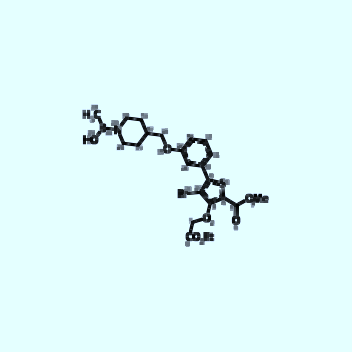 CCOC(=O)COc1c(C(=O)OC)sc(-c2cccc(OCC3CCN(B(C)O)CC3)c2)c1Br